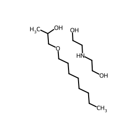 CCCCCCCCOCC(C)O.OCCNCCO